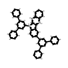 c1ccc(-c2cc(-c3ccccc3)cc(-c3ccc4c(c3)c3nc5ccccc5nc3n4-c3cc(-c4ccccc4)cc(-c4ccccc4)c3)c2)cc1